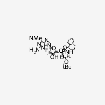 CNc1nc(N)nc2c1ncn2[C@@H]1O[C@H](COP(=S)(N[C@@H](C)C(=O)OCC(C)(C)C)Oc2cccc3ccccc23)[C@@H](O)[C@@]1(C)F